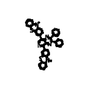 CN1c2ccccc2Sc2cc(-c3cnc(-c4ccc5c(c4)Sc4ccccc4N5C)c4nc(-c5ccccc5)c(-c5ccccc5)nc34)ccc21